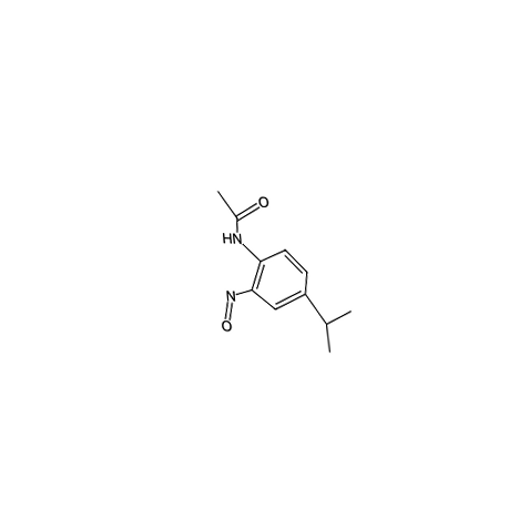 CC(=O)Nc1ccc(C(C)C)cc1N=O